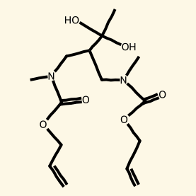 C=CCOC(=O)N(C)CC(CN(C)C(=O)OCC=C)C(C)(O)O